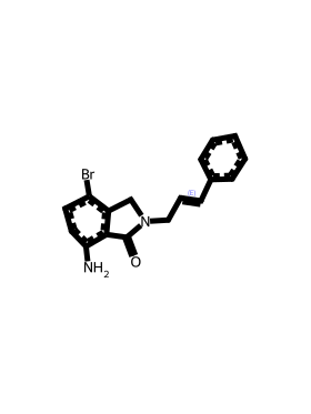 Nc1ccc(Br)c2c1C(=O)N(C/C=C/c1ccccc1)C2